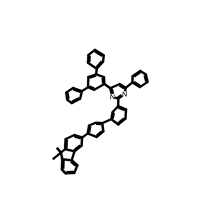 CC1(C)c2ccccc2-c2cc(-c3ccc(-c4cccc(-c5nc(-c6ccccc6)cc(-c6cc(-c7ccccc7)cc(-c7ccccc7)c6)n5)c4)cc3)ccc21